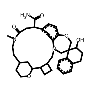 CN1CCC2CCOC(C2)C2CCC2CN2CC3(COc4ccc(cc42)C(C(N)=O)CC1=O)c1ccccc1CCC3O